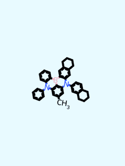 Cc1cc2c3c(c1)N(c1ccc4c(c1)CCCC4)c1cc4c(cc1B3c1ccccc1N2c1ccccc1)CCCC4